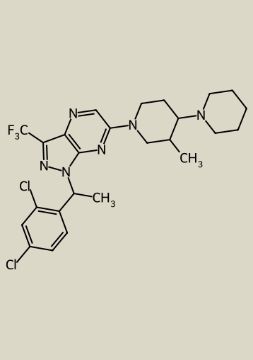 CC1CN(c2cnc3c(C(F)(F)F)nn(C(C)c4ccc(Cl)cc4Cl)c3n2)CCC1N1CCCCC1